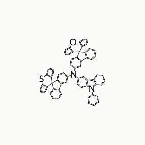 c1ccc(-n2c3ccccc3c3cc(N(c4ccc5c(c4)-c4ccccc4C54c5ccccc5Oc5ccccc54)c4ccc5c(c4)-c4ccccc4C54c5ccccc5Sc5ccccc54)ccc32)cc1